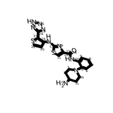 NC1CCN(c2ccccc2NC(=O)c2csc(Nc3ccsc3-c3nn[nH]n3)n2)CC1